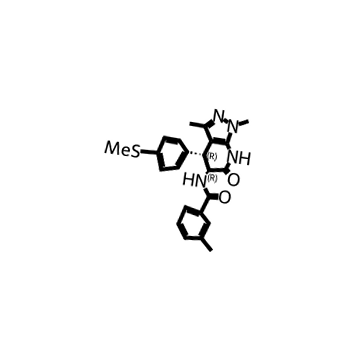 CSc1ccc([C@@H]2c3c(C)nn(C)c3NC(=O)[C@@H]2NC(=O)c2cccc(C)c2)cc1